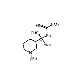 CCCCN1CCCC([C@@](C=O)(CCCC)NC(=N)NC)C1